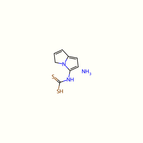 N.S=C(S)Nc1ccc2n1CC=C2